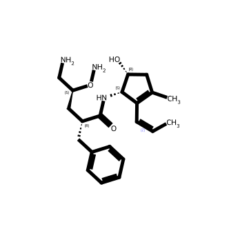 C/C=C\C1=C(C)C[C@@H](O)[C@H]1NC(=O)[C@H](Cc1ccccc1)C[C@@H](CN)ON